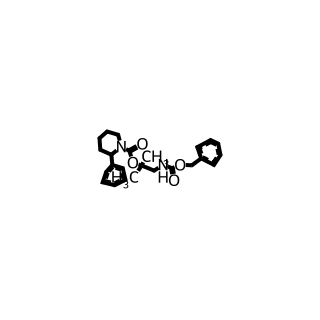 CC(C)(CNC(=O)OCc1ccccc1)OC(=O)N1CCCCC1c1ccccc1